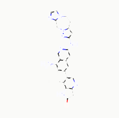 Cc1c(-c2cc3cc(Nc4cc5n(n4)Cc4nccn4CC5)ncc3c(N)c2F)cnc2c1NC(=O)C2